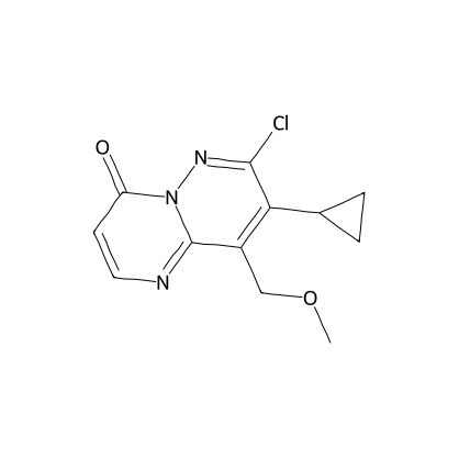 COCc1c(C2CC2)c(Cl)nn2c(=O)ccnc12